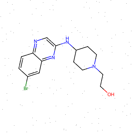 OCCN1CCC(Nc2cnc3ccc(Br)cc3n2)CC1